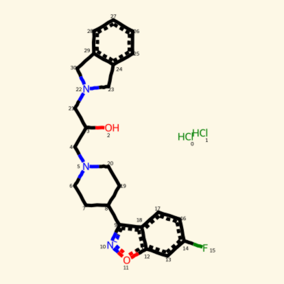 Cl.Cl.OC(CN1CCC(c2noc3cc(F)ccc23)CC1)CN1Cc2ccccc2C1